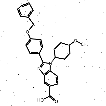 COC1CCC(n2c(-c3ccc(OCc4ccccc4)cc3)nc3cc(C(=O)O)ccc32)CC1